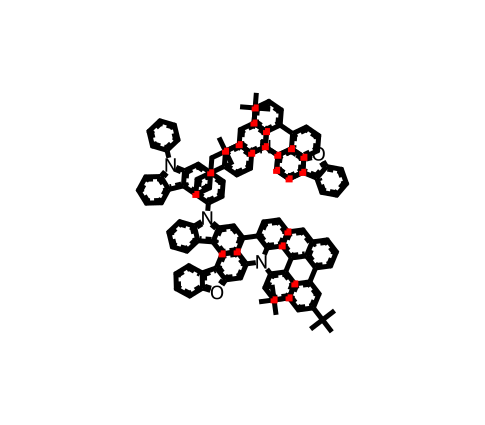 CC(C)(C)c1cc(-c2cccc3cccc(-c4ccccc4N(c4ccc5c(c4)oc4ccccc45)c4ccccc4-c4ccc5c6ccccc6n(-c6ccc(CC(C)(C)c7cc(-c8cccc9cccc(-c%10ccccc%10N(c%10ccc(-c%11ccc%12c%13ccccc%13n(-c%13ccccc%13)c%12c%11)cc%10)c%10ccc%11c(c%10)oc%10ccccc%10%11)c89)cc(C(C)(C)C)c7)cc6)c5c4)c23)cc(C(C)(C)C)c1